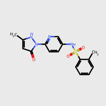 Cc1cc(=O)n(-c2ccc(NS(=O)(=O)c3ccccc3C)cn2)[nH]1